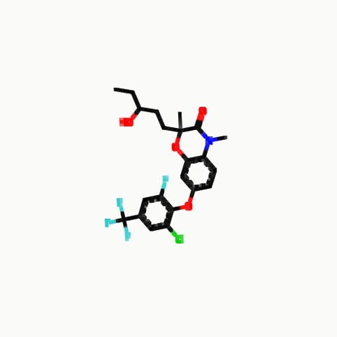 CCC(O)CCC1(C)Oc2cc(Oc3c(F)cc(C(F)(F)F)cc3Cl)ccc2N(C)C1=O